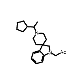 CC(=O)CN1CC2(CCN(C(C)C3CCCC3)CC2)c2ccccc21